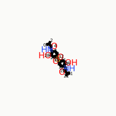 C=C(C)C(=O)Nc1ccc(S(=O)(=O)c2ccc(NC(=O)C(=C)C)c(O)c2)cc1O